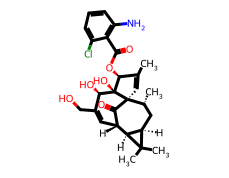 CC1=C[C@]23C(=O)[C@@H](C=C(CO)[C@@H](O)[C@]2(O)[C@H]1OC(=O)c1c(N)cccc1Cl)[C@H]1[C@@H](C[C@H]3C)C1(C)C